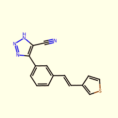 N#Cc1[nH]nnc1-c1cccc(/C=C/c2ccsc2)c1